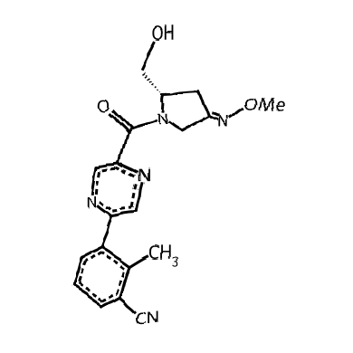 CO/N=C1\C[C@@H](CO)N(C(=O)c2cnc(-c3cccc(C#N)c3C)cn2)C1